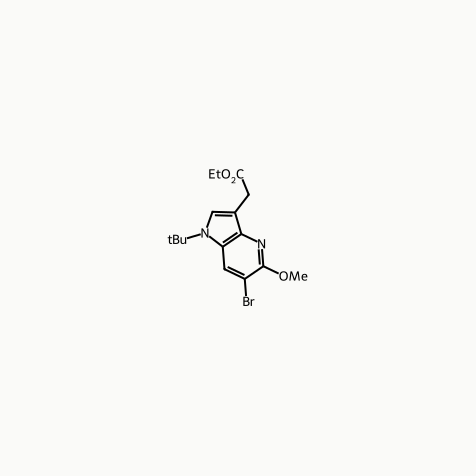 CCOC(=O)Cc1cn(C(C)(C)C)c2cc(Br)c(OC)nc12